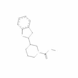 CC(C)(C)OC(=O)N1CCCC(C2Cc3ccccc3N2)C1